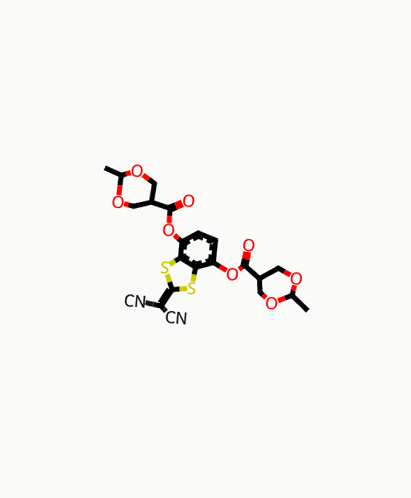 [C-]#[N+]C(C#N)=C1Sc2c(OC(=O)C3COC(C)OC3)ccc(OC(=O)C3COC(C)OC3)c2S1